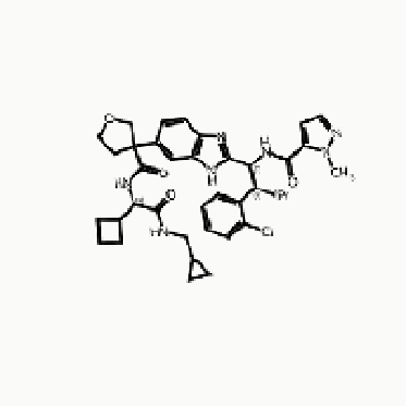 CC(C)[C@@H](c1ccccc1Cl)[C@H](NC(=O)c1ccnn1C)c1nc2ccc(C3(C(=O)N[C@@H](C(=O)NCC4CC4)C4CCC4)CCOC3)cc2[nH]1